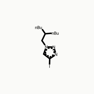 CCCCC(CCCC)Cn1cc(I)nn1